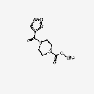 CC(C)(C)OC(=O)N1CCN(C(=O)c2ccon2)CC1